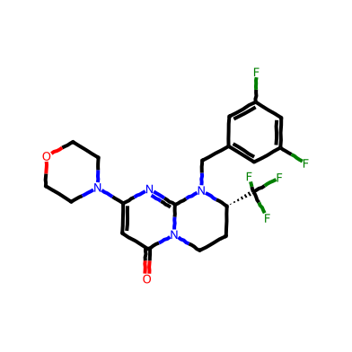 O=c1cc(N2CCOCC2)nc2n1CC[C@@H](C(F)(F)F)N2Cc1cc(F)cc(F)c1